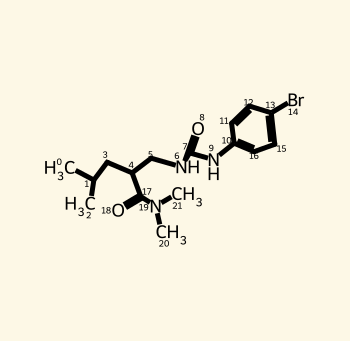 CC(C)CC(CNC(=O)Nc1ccc(Br)cc1)C(=O)N(C)C